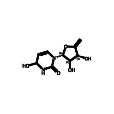 C=C1O[C@@H](N2C=CC(O)NC2=O)[C@H](O)[C@@H]1O